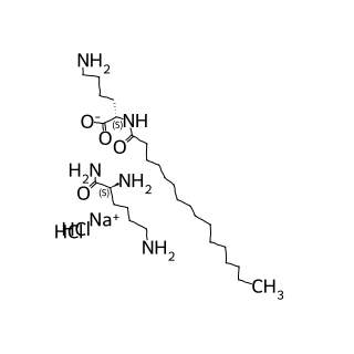 CCCCCCCCCCCCCCCC(=O)N[C@@H](CCCCN)C(=O)[O-].Cl.Cl.NCCCC[C@H](N)C(N)=O.[Na+]